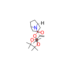 C=C(B1OC(C)(C)C(C)(C)O1)[C@@H]1CC2CC[C@@H](C1)N2C(=O)OC(C)(C)C